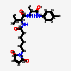 Cc1ccc(NC(=O)[C@H](C)NC(=O)C(NC(=O)CCCCCN2C(=O)C=CC2=O)C(C)C)cc1